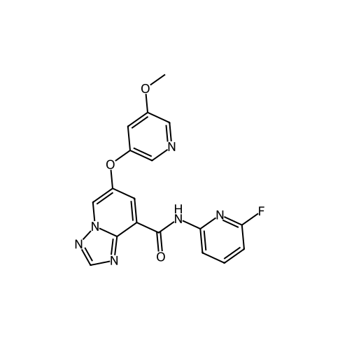 COc1cncc(Oc2cc(C(=O)Nc3cccc(F)n3)c3ncnn3c2)c1